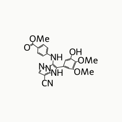 COC(=O)c1ccc(Nc2c(-c3cc(O)c(OC)c(OC)c3)[nH]c3c(C#N)cnn23)cc1